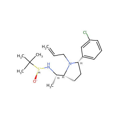 C=CCN1[C@@H]([C@H](C)N[S@@+]([O-])C(C)(C)C)CC[C@H]1c1cccc(Cl)c1